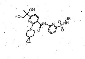 CC(C)(C)NS(=O)(=O)c1cccc(NC(=O)c2ccc([C@@](C)(O)CO)nc2N2CCC3(CC2)CC3)n1